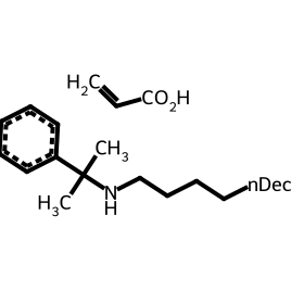 C=CC(=O)O.CCCCCCCCCCCCCCNC(C)(C)c1ccccc1